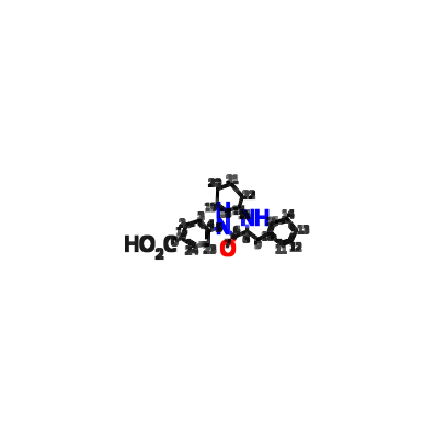 O=C(O)c1ccc(NC(=O)C(Cc2ccccc2)NC2CCCCC2)cc1